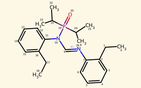 CCc1ccccc1/N=C/N(c1ccccc1CC)P(=O)(C(C)C)C(C)C